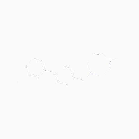 CCN1CCCN(Cc2ccc(-c3cccc(C(F)(F)F)c3)cc2)CC1